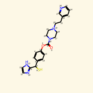 O=C(Oc1ccc(C(S)c2ncc[nH]2)cc1)N1CCN(CCc2cccnc2)CC1